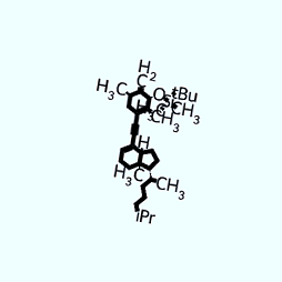 C=C1[C@H](O[Si](C)(C)C(C)(C)C)C(C)=C(C#CC2=CCC[C@]3(C)[C@@H](C(C)CCCC(C)C)CC[C@@H]23)C[C@H]1C